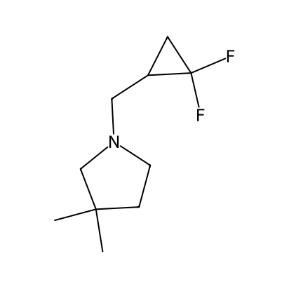 CC1(C)CCN(CC2CC2(F)F)C1